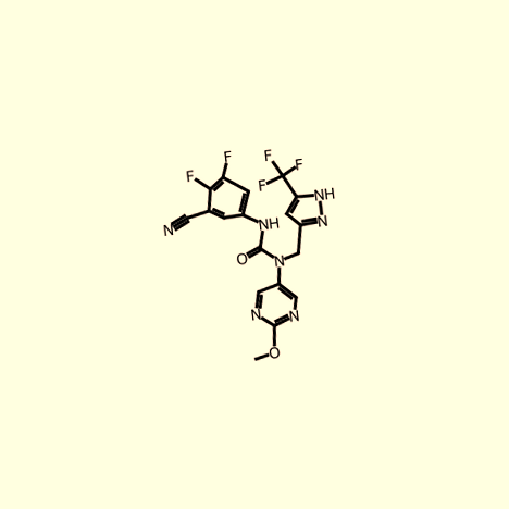 COc1ncc(N(Cc2cc(C(F)(F)F)[nH]n2)C(=O)Nc2cc(F)c(F)c(C#N)c2)cn1